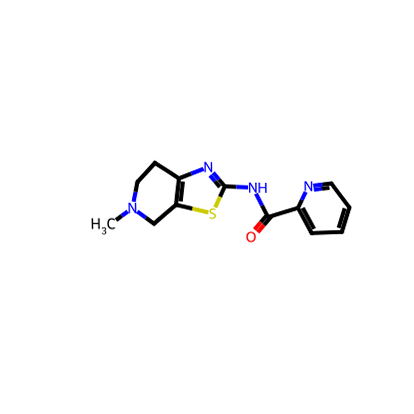 CN1CCc2nc(NC(=O)c3ccccn3)sc2C1